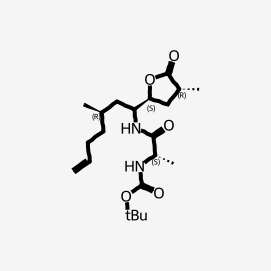 C=CCC[C@@H](C)CC(NC(=O)[C@H](C)NC(=O)OC(C)(C)C)[C@@H]1C[C@@H](C)C(=O)O1